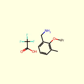 Cc1cccc(CN)c1OC(C)C.O=C(O)C(F)(F)F